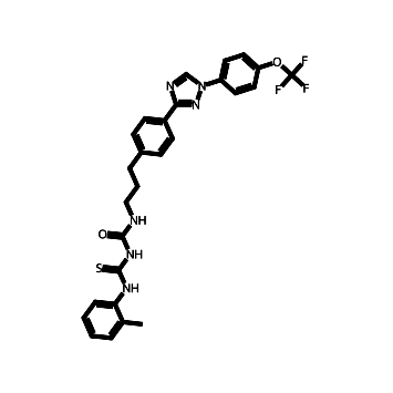 Cc1ccccc1NC(=S)NC(=O)NCCCc1ccc(-c2ncn(-c3ccc(OC(F)(F)F)cc3)n2)cc1